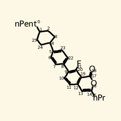 CCCCCC1CCC(c2ccc(-c3ccc4cc(CCC)oc(=O)c4c3F)cc2)CC1